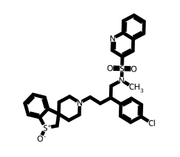 CN(CC(CCN1CCC2(CC1)C[S+]([O-])c1ccccc12)c1ccc(Cl)cc1)S(=O)(=O)c1cnc2ccccc2c1